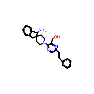 NC1c2ccccc2CC12CCN(c1ncc(C=Cc3ccccc3)nc1CO)CC2